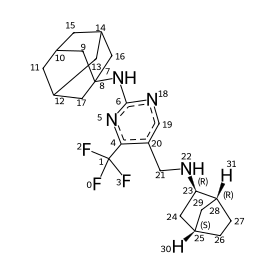 FC(F)(F)c1nc(NC23CC4CC(CC(C4)C2)C3)ncc1CN[C@@H]1C[C@H]2CC[C@@H]1C2